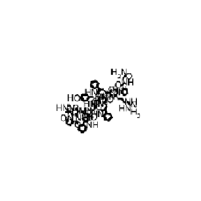 N=C(N)NCCC[C@H](NC(=O)[C@H](Cc1c[nH]c2ccccc12)NC(=O)[C@@H](Cc1c[nH]c2ccccc12)NC(=O)[C@H](Cc1ccc(O)cc1)NC(=O)[C@H](CO)NC(=O)[C@H](Cc1c[nH]c2ccccc12)NC(=O)[C@H](Cc1c[nH]cn1)NC(=O)[C@@H]1CCC(=O)N1)C(=O)N1CCC[C@H]1C(=O)NCC(N)=O